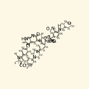 Cc1c(C(=O)O)c(-c2cccc(N3CCN(c4ccc(C(=O)NS(=O)(=O)c5ccc(NCC6CCOCC6)c([N+](=O)[O-])c5)c(N5CCOc6nc7[nH]ccc7cc65)c4)CC3)c2)c(-c2ccc(Cl)cc2)n1C